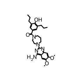 CCCc1cc(C(=O)N2CCCN(c3nc(N)c4cc(OC)c(OC)cc4n3)CC2)cc(CCC)c1O